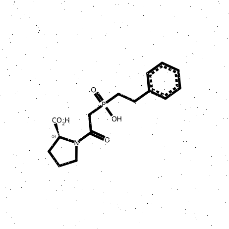 O=C(O)[C@@H]1CCCN1C(=O)CP(=O)(O)CCc1ccccc1